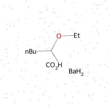 CCCCC(OCC)C(=O)O.[BaH2]